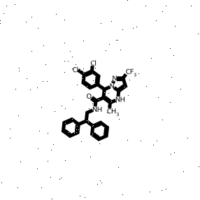 CC1=C(C(=O)NCC(c2ccccc2)c2ccccc2)C(c2ccc(Cl)c(Cl)c2)n2nc(C(F)(F)F)cc2N1